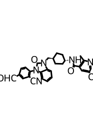 Cc1ncc(Cl)cc1C(=O)N[C@H]1CC[C@H](Cn2c(=O)n(-c3ccc(C=O)cc3C#N)c3ccccc32)CC1